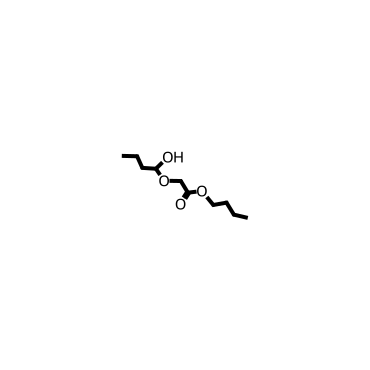 CCCCOC(=O)COC(O)CCC